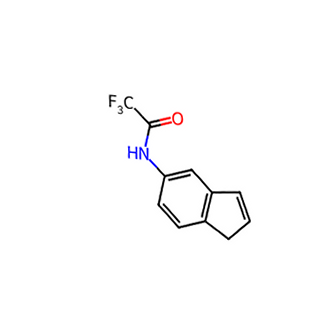 O=C(Nc1ccc2c(c1)C=CC2)C(F)(F)F